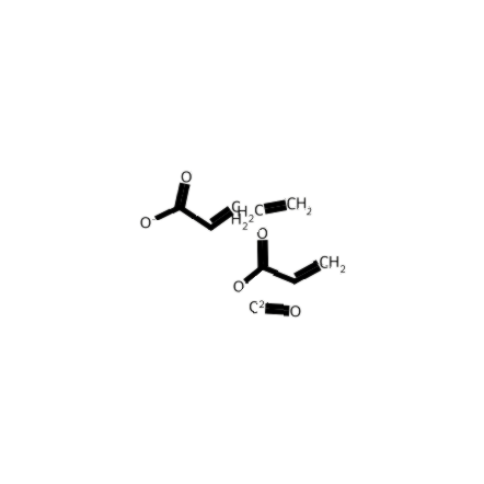 C=C.C=CC(=O)[O-].C=CC(=O)[O-].[C+2]=O